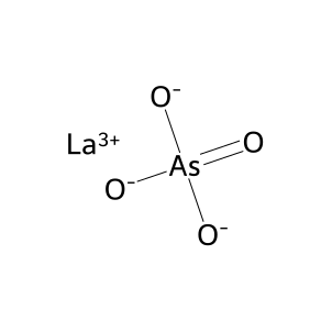 O=[As]([O-])([O-])[O-].[La+3]